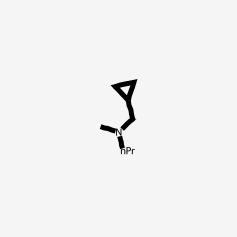 CCCN(C)[CH]C1CC1